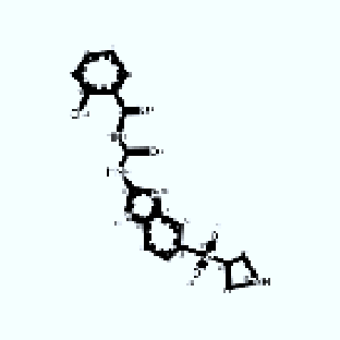 O=C(NC(=O)c1ccccc1Cl)Nc1nc2ccc(S(=O)(=O)C3CNC3)cc2s1